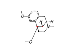 COc1ccc2c(c1)[C@]13CCN(C)[C@H](C2)[C@@H]1CCC(OC)C3